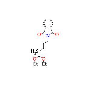 CCOC(OCC)[SiH2]CCCN1C(=O)c2ccccc2C1=O